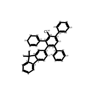 CC1(C)c2ccccc2-c2ccc(-c3c(-c4ccccc4)cc(-c4ccccc4)c(Cl)c3C3=CCCC=C3)cc21